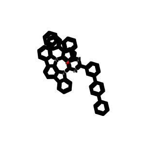 c1ccc(-c2ccc(-c3cccc(-c4nc(-c5cccc(-c6ccccc6)c5)nc(-n5c6ccccc6c6ccc7c8ccccc8n(-c8ccccc8-c8ccccc8)c7c65)n4)c3)cc2)cc1